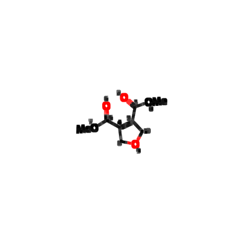 COC(=O)C1=C(C(=O)OC)COC1